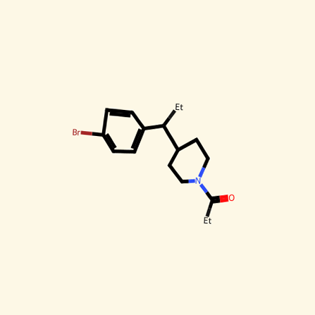 CCC(=O)N1CCC(C(CC)c2ccc(Br)cc2)CC1